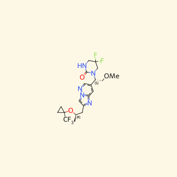 COC[C@H](c1cnn2cc(C[C@@H](C)OC3(C(F)(F)F)CC3)nc2c1)N1CC(F)(F)CNC1=O